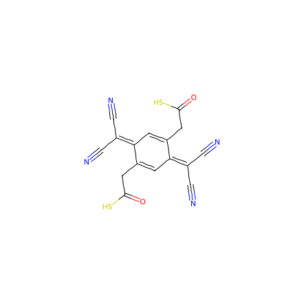 N#CC(C#N)=c1cc(CC(=O)S)c(=C(C#N)C#N)cc1CC(=O)S